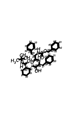 CC(C)(C)NC(=O)[C@@H]1CCCC[C@H]1C[C@@H](O)[C@H](Cc1ccccc1)NC(=O)[C@H](Cc1ccccc1)NC(=O)OCc1ccccc1